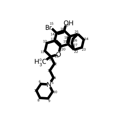 CC1(CCCN2CCCCC2)CCc2c(Br)c(O)c3c(c2O1)C1CCC3CC1